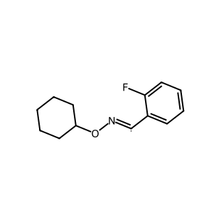 Fc1ccccc1/[C]=N/OC1CCCCC1